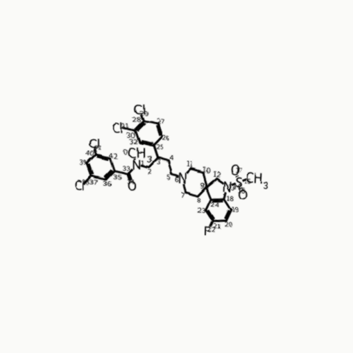 CN(CC(CCN1CCC2(CC1)CN(S(C)(=O)=O)c1ccc(F)cc12)c1ccc(Cl)c(Cl)c1)C(=O)c1cc(Cl)cc(Cl)c1